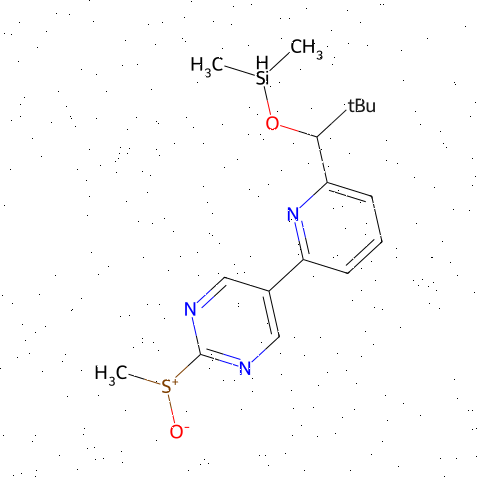 C[SiH](C)OC(c1cccc(-c2cnc([S+](C)[O-])nc2)n1)C(C)(C)C